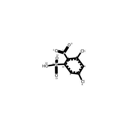 O=I(=O)c1c(Cl)cc(Cl)cc1S(=O)(=O)O